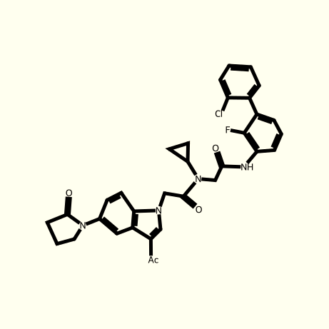 CC(=O)c1cn(CC(=O)N(CC(=O)Nc2cccc(-c3ccccc3Cl)c2F)C2CC2)c2ccc(N3CCCC3=O)cc12